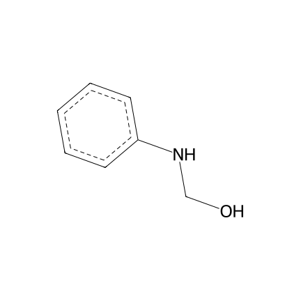 OCNc1ccccc1